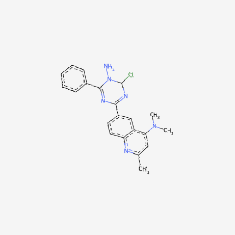 Cc1cc(N(C)C)c2cc(C3=NC(Cl)N(N)C(c4ccccc4)=N3)ccc2n1